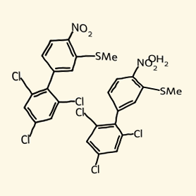 CSc1cc(-c2c(Cl)cc(Cl)cc2Cl)ccc1[N+](=O)[O-].CSc1cc(-c2c(Cl)cc(Cl)cc2Cl)ccc1[N+](=O)[O-].O